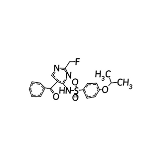 CC(C)Oc1ccc(S(=O)(=O)Nc2nc(CF)ncc2C(=O)c2ccccc2)cc1